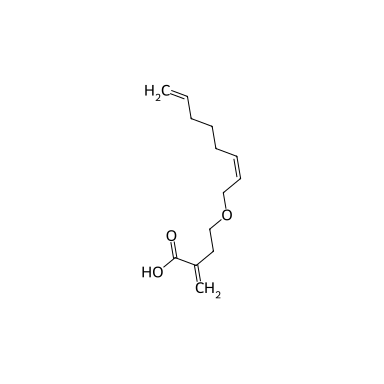 C=CCCC/C=C\COCCC(=C)C(=O)O